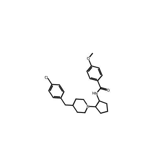 COc1ccc(C(=O)NC2CCCC2N2CCC(Cc3ccc(Cl)cc3)CC2)cc1